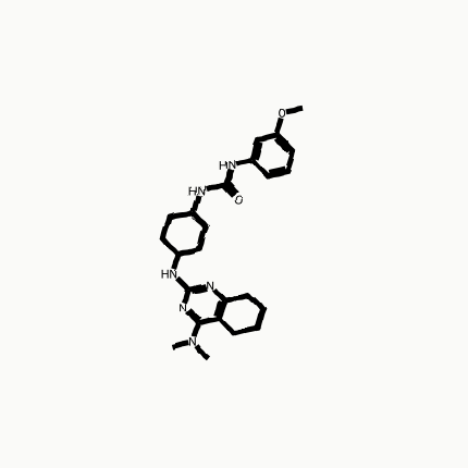 COc1cccc(NC(=O)NC2CCC(Nc3nc4c(c(N(C)C)n3)CCCC4)CC2)c1